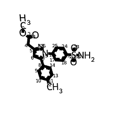 COC(=O)Cc1cc(-c2ccc(C)cc2)n(-c2ccc(S(N)(=O)=O)cc2)n1